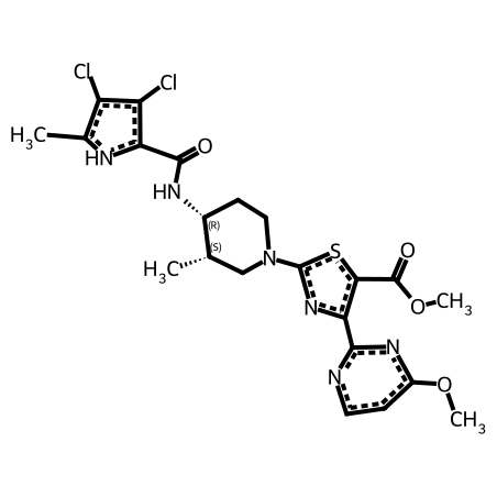 COC(=O)c1sc(N2CC[C@@H](NC(=O)c3[nH]c(C)c(Cl)c3Cl)[C@@H](C)C2)nc1-c1nccc(OC)n1